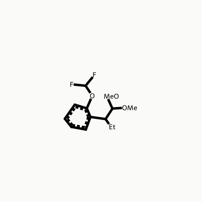 CCC(c1ccccc1OC(F)F)C(OC)OC